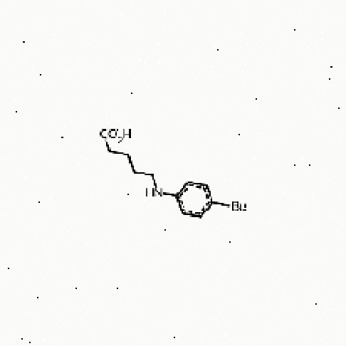 CCC(C)c1ccc(NCCCCC(=O)O)cc1